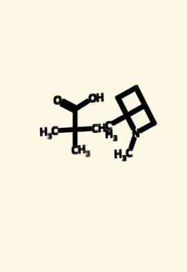 CC(C)(C)C(=O)O.CN1CC2CCC21C